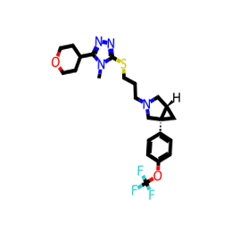 Cn1c(SCCCN2C[C@@H]3C[C@@]3(c3ccc(OC(F)(F)F)cc3)C2)nnc1C1CCOCC1